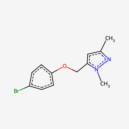 Cc1cc(COc2ccc(Br)cc2)n(C)n1